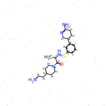 CC(NSc1cccc(C2CCC(N)=NC2)c1)C(=O)N1CCC(CCN)CC1